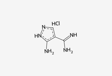 Cl.N=C(N)c1cn[nH]c1N